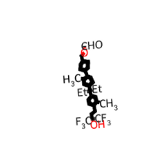 CCC(CC)(c1ccc(CCC(O)(C(F)(F)F)C(F)(F)F)c(C)c1)c1ccc(-c2ccc(COC=O)cc2)c(C)c1